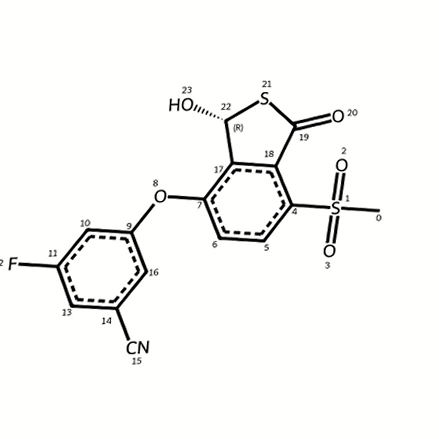 CS(=O)(=O)c1ccc(Oc2cc(F)cc(C#N)c2)c2c1C(=O)S[C@H]2O